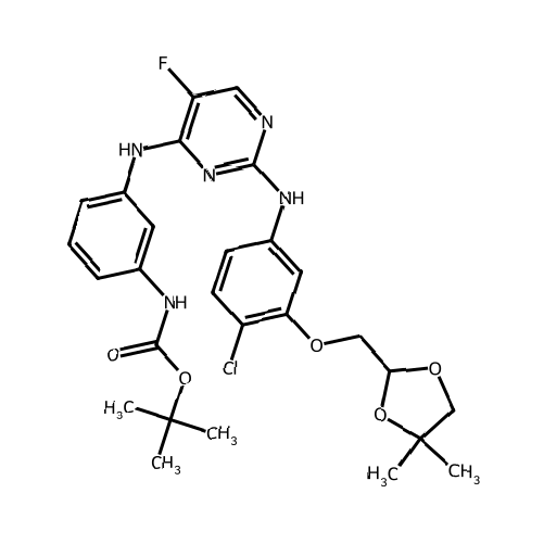 CC(C)(C)OC(=O)Nc1cccc(Nc2nc(Nc3ccc(Cl)c(OCC4OCC(C)(C)O4)c3)ncc2F)c1